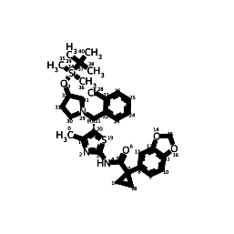 Cc1nc(NC(=O)C2(c3ccc4c(c3)OCO4)CC2)sc1[C@@H](c1ccccc1Cl)N1CCC(O[Si](C)(C)C(C)(C)C)C1